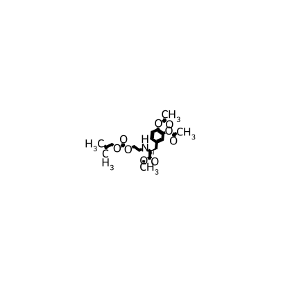 COC(=O)[C@H](Cc1ccc(OC(C)=O)c(OC(C)=O)c1)NCCOC(=O)OCC(C)C